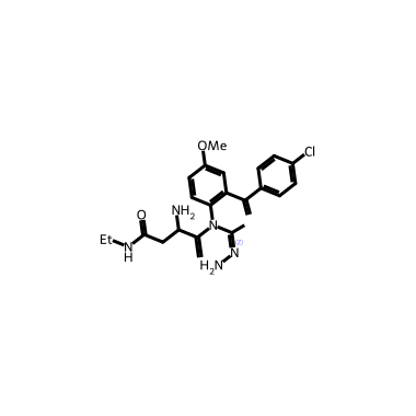 C=C(c1ccc(Cl)cc1)c1cc(OC)ccc1N(C(=C)C(N)CC(=O)NCC)/C(C)=N\N